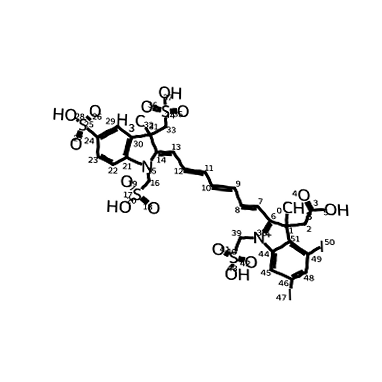 CC1(CC(=O)O)C(/C=C/C=C/C=C/C=C2\N(CS(=O)(=O)O)c3ccc(S(=O)(=O)O)cc3C2(C)CS(=O)(=O)O)=[N+](CS(=O)(=O)O)c2cc(I)cc(I)c21